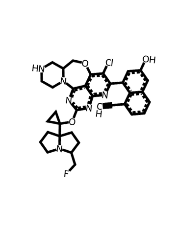 C#Cc1cccc2cc(O)cc(-c3nc4nc(OC5(C67CCCN6C(CF)CC7)CC5)nc5c4c(c3Cl)OCC3CNCCN53)c12